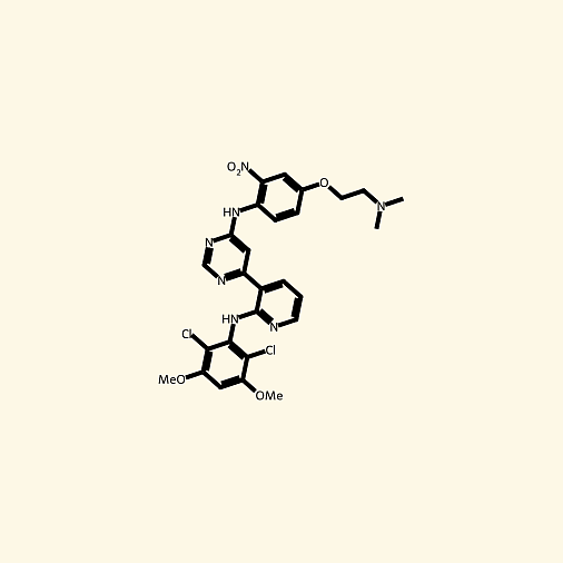 COc1cc(OC)c(Cl)c(Nc2ncccc2-c2cc(Nc3ccc(OCCN(C)C)cc3[N+](=O)[O-])ncn2)c1Cl